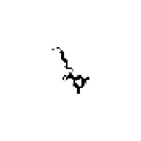 Cc1cc(C)cc(C(=O)OCCCCO)c1